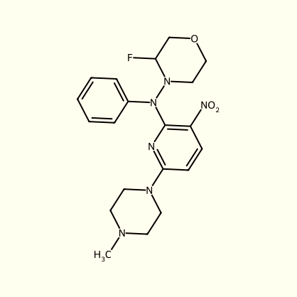 CN1CCN(c2ccc([N+](=O)[O-])c(N(c3ccccc3)N3CCOCC3F)n2)CC1